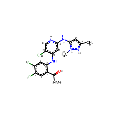 CNC(=O)c1cc(F)c(F)cc1Nc1cc(Nc2cc(C)nn2C)ncc1Cl